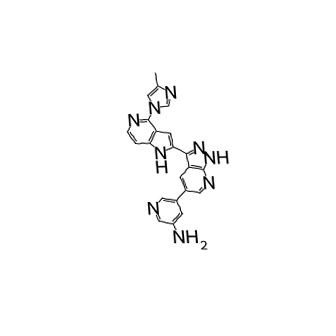 Cc1cn(-c2nccc3[nH]c(-c4n[nH]c5ncc(-c6cncc(N)c6)cc45)cc23)cn1